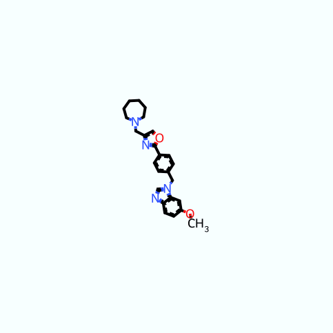 COc1ccc2ncn(Cc3ccc(-c4nc(CN5CCCCCC5)co4)cc3)c2c1